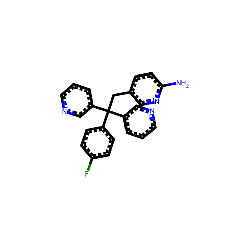 Nc1ccc(CC(c2ccc(F)cc2)(c2cccnc2)c2cccnc2)cn1